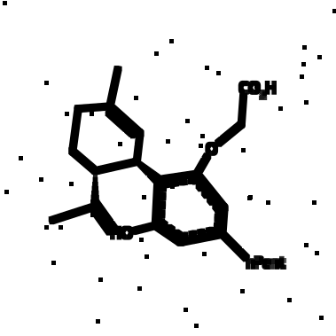 C=C(C)[C@@H]1CCC(C)=C[C@H]1c1c(O)cc(CCCCC)cc1OCC(=O)O